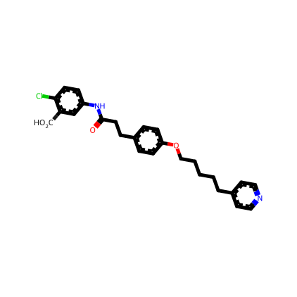 O=C(CCc1ccc(OCCCCCc2ccncc2)cc1)Nc1ccc(Cl)c(C(=O)O)c1